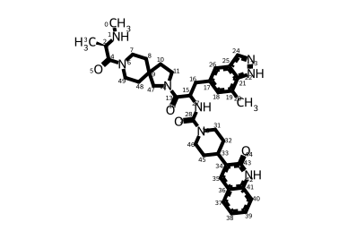 CN[C@H](C)C(=O)N1CCC2(CCN(C(=O)C(Cc3cc(C)c4[nH]ncc4c3)NC(=O)N3CCC(c4cc5ccccc5[nH]c4=O)CC3)C2)CC1